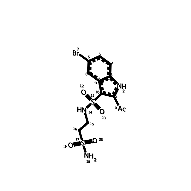 CC(=O)c1[nH]c2ccc(Br)cc2c1S(=O)(=O)NCCS(N)(=O)=O